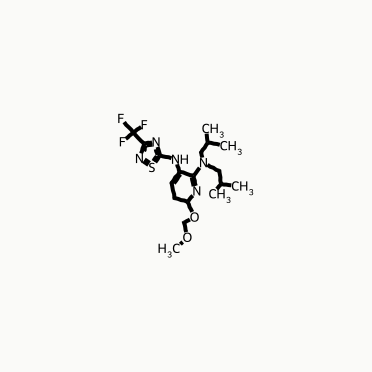 COCOC1CC=C(Nc2nc(C(F)(F)F)ns2)C(N(CC(C)C)CC(C)C)=N1